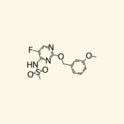 COc1cccc(COc2ncc(F)c(NS(C)(=O)=O)n2)c1